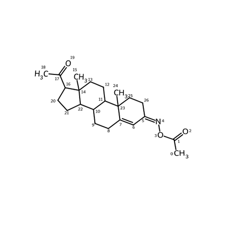 CC(=O)ON=C1C=C2CCC3C(CCC4(C)C(C(C)=O)CCC34)C2(C)CC1